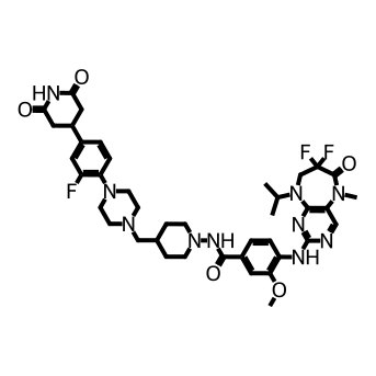 COc1cc(C(=O)NN2CCC(CN3CCN(c4ccc(C5CC(=O)NC(=O)C5)cc4F)CC3)CC2)ccc1Nc1ncc2c(n1)N(C(C)C)CC(F)(F)C(=O)N2C